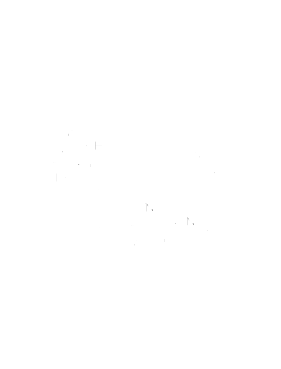 COC(=O)CCC(C(N)=O)N1Cc2c(OC(C)(C)C(C)(C)C)cccc2C1=O